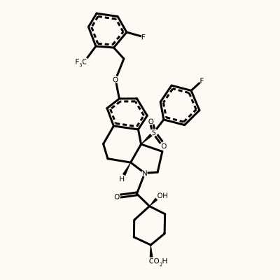 O=C(O)[C@H]1CC[C@](O)(C(=O)N2CC[C@@]3(S(=O)(=O)c4ccc(F)cc4)c4ccc(OCc5c(F)cccc5C(F)(F)F)cc4CC[C@@H]23)CC1